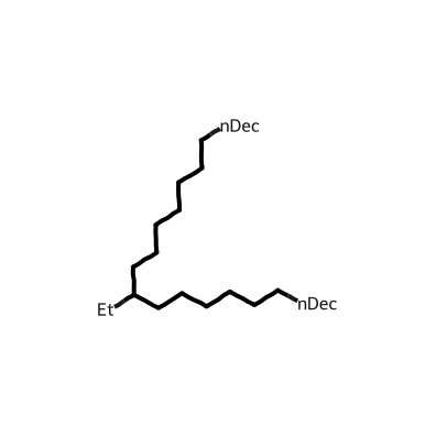 [CH2]CC(CCCCCCCCCCCCCCCC)CCCCCCCCCCCCCCCCC